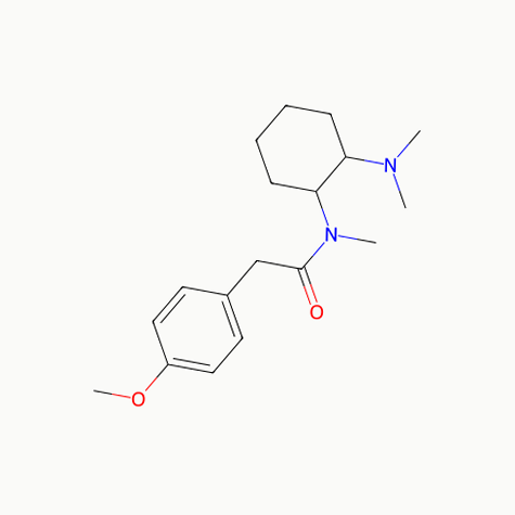 COc1ccc(CC(=O)N(C)C2CCCCC2N(C)C)cc1